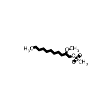 CCCCCCCCCC(COS(C)(=O)=O)OC